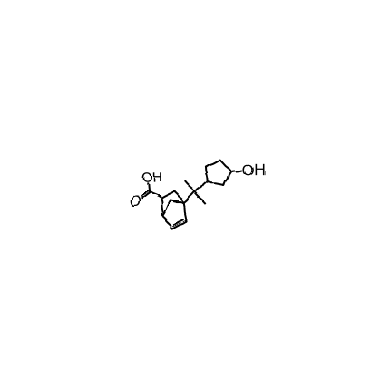 CC(C)(C1CCC(O)C1)C12C=CC(C1)C(C(=O)O)C2